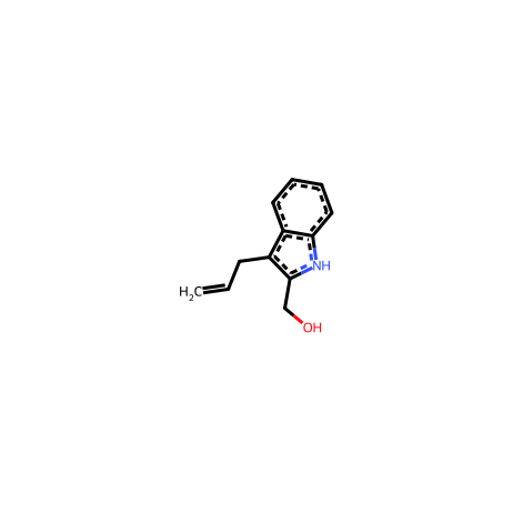 C=CCc1c(CO)[nH]c2ccccc12